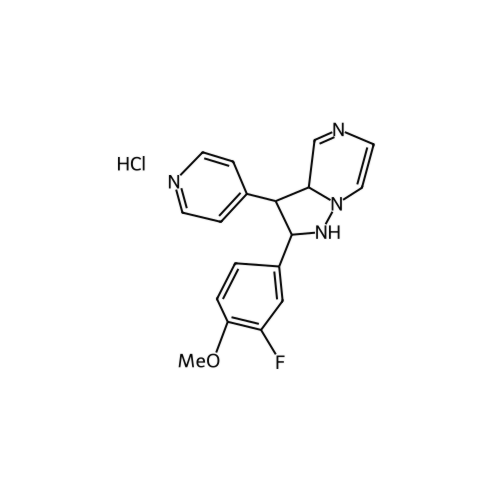 COc1ccc(C2NN3C=CN=CC3C2c2ccncc2)cc1F.Cl